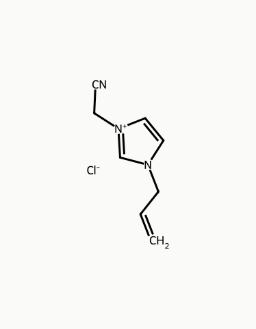 C=CCn1cc[n+](CC#N)c1.[Cl-]